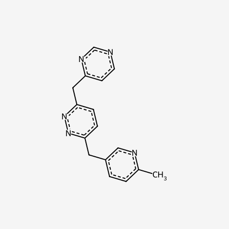 Cc1ccc(Cc2ccc(Cc3ccncn3)nn2)cn1